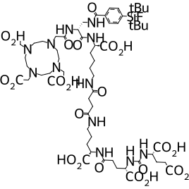 CC(C)(C)[Si](F)(c1ccc(C(=O)NC[C@@H](NC(=O)CN2CCN(CC(=O)O)CCN(CC(=O)O)CCN(CC(=O)O)CC2)C(=O)N[C@H](CCCCNC(=O)CCC(=O)NCCC[C@@H](NC(=O)CC[C@H](NC(=O)N[C@@H](CCC(=O)O)C(=O)O)C(=O)O)C(=O)O)C(=O)O)cc1)C(C)(C)C